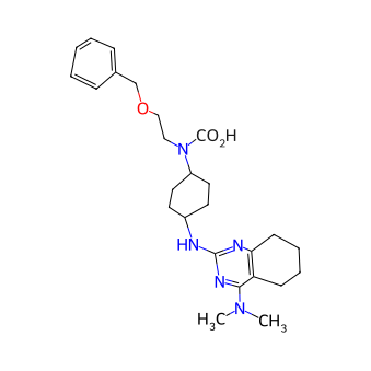 CN(C)c1nc(NC2CCC(N(CCOCc3ccccc3)C(=O)O)CC2)nc2c1CCCC2